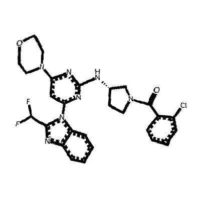 O=C(c1ccccc1Cl)N1CC[C@H](Nc2nc(N3CCOCC3)cc(-n3c(C(F)F)nc4ccccc43)n2)C1